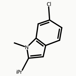 CC(C)c1cc2ccc(Cl)cc2n1C